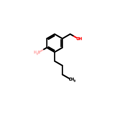 Bc1ccc(CO)cc1CCCC